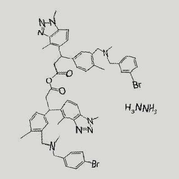 Cc1ccc(C(CC(=O)OC(=O)CC(c2ccc(C)c(CN(C)Cc3cccc(Br)c3)c2)c2ccc3c(nnn3C)c2C)c2ccc3c(nnn3C)c2C)cc1CN(C)Cc1ccc(Br)cc1.N.N